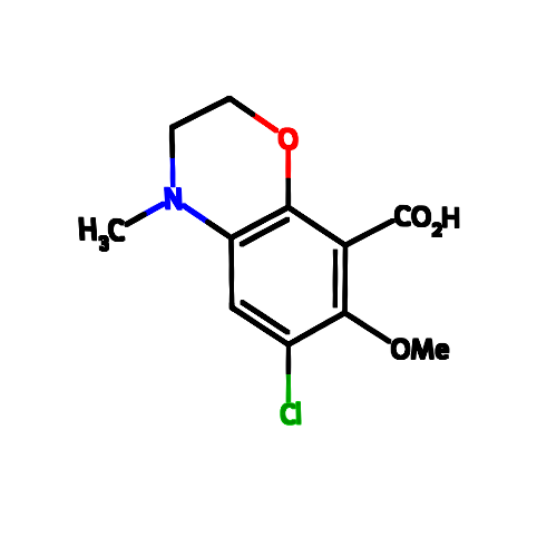 COc1c(Cl)cc2c(c1C(=O)O)OCCN2C